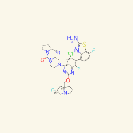 N#CC1CCCN1C(=O)N1CCN(c2nc(OC[C@@]34CCCN3C[C@H](F)C4)nc3c(F)c(-c4ccc(F)c5sc(N)nc45)c(Cl)cc23)CC1